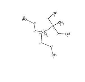 CC(C)(CO)CO.OCCSCCO